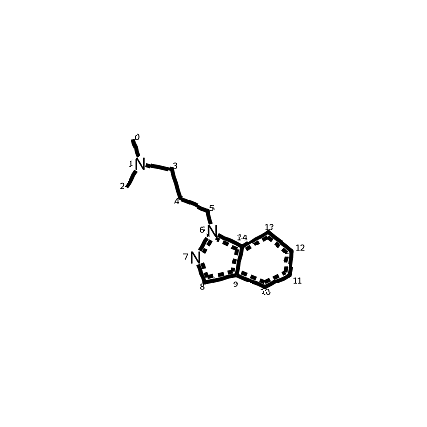 CN(C)CCCn1ncc2ccccc21